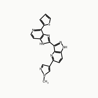 Cn1cc(-c2ccc3[nH]nc(-c4nc5c(-c6cccs6)nccc5[nH]4)c3n2)cn1